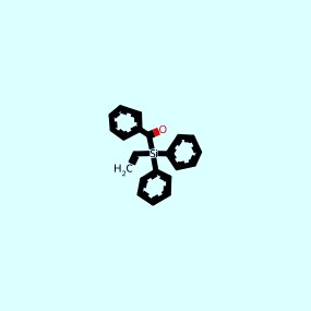 C=C[Si](C(=O)c1ccccc1)(c1ccccc1)c1ccccc1